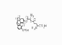 COc1ccc2c3c1O[C@@H]1C(OC(=O)[C@H](C)OC(=O)CC[C@H](N)C(=O)O)=CC[C@]4(O)[C@@H](CCC[C@@]314)C2